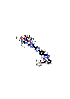 CCCN(Cc1nc(-c2cnc(-c3ccc(-c4cnc([C@@H]5CCCN5C(=O)CC(C)C)[nH]4)c(F)c3)nc2)c[nH]1)C(=O)[C@@H](NC(=O)OC)C(C)C